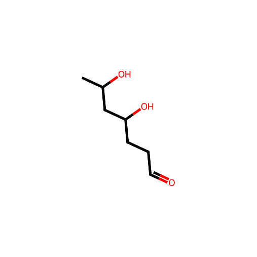 CC(O)CC(O)CCC=O